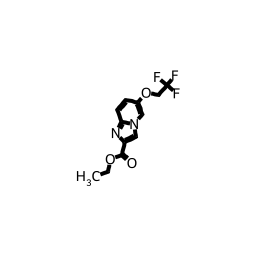 CCOC(=O)c1cn2cc(OCC(F)(F)F)ccc2n1